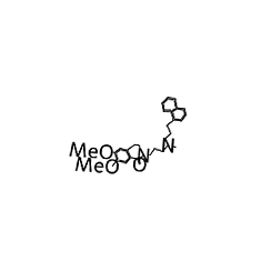 COc1cc2c(cc1OC)C(=O)N(CCCN(C)CCCc1cccc3ccccc13)CC2